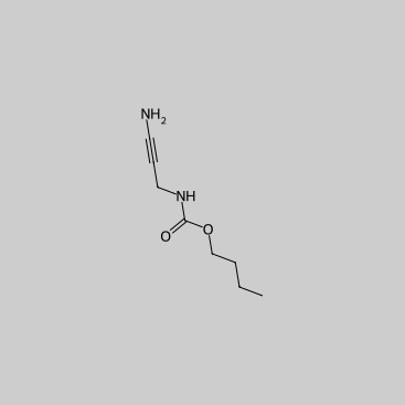 CCCCOC(=O)NCC#CN